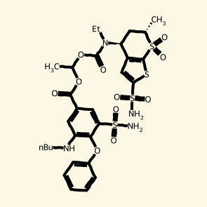 CCCCNc1cc(C(=O)OC(C)OC(=O)N(CC)[C@H]2C[C@H](C)S(=O)(=O)c3sc(S(N)(=O)=O)cc32)cc(S(N)(=O)=O)c1Oc1ccccc1